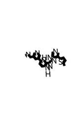 Cc1ccc(-c2cncc3[nH]c(-c4n[nH]c5ccc(-c6cncc(CN(C)C)c6)nc45)nc23)s1